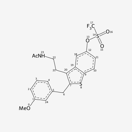 COc1cccc(Cc2sc3ccc(OS(=O)(=O)C(F)(F)F)cc3c2CCNC(C)=O)c1